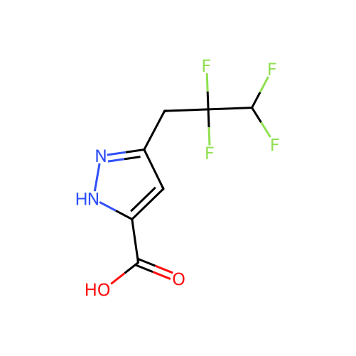 O=C(O)c1cc(CC(F)(F)C(F)F)n[nH]1